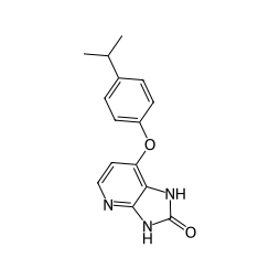 CC(C)c1ccc(Oc2ccnc3[nH]c(=O)[nH]c23)cc1